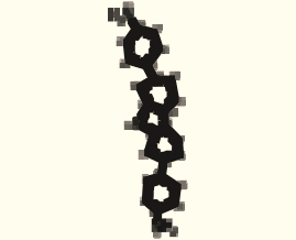 Nc1ccc(-c2ccc3c(c2)sc2cc(-c4ccc(N)cc4)ccc23)cc1